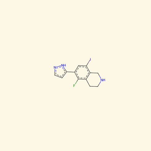 Fc1c(-c2ccn[nH]2)cc(I)c2c1CCNC2